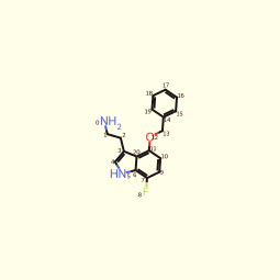 NCCc1c[nH]c2c(F)ccc(OCc3ccccc3)c12